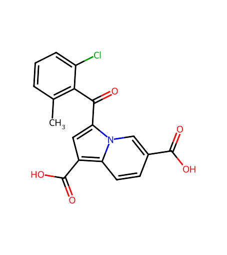 Cc1cccc(Cl)c1C(=O)c1cc(C(=O)O)c2ccc(C(=O)O)cn12